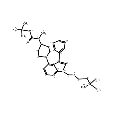 CN(C(=O)OC(C)(C)C)C1CCN(c2ccnc3c2c(-c2cncnc2)cn3COCC[Si](C)(C)C)CC1